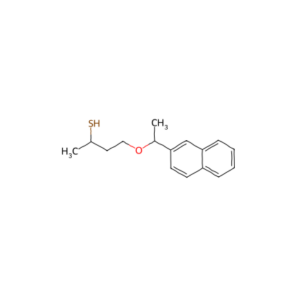 CC(S)CCOC(C)c1ccc2ccccc2c1